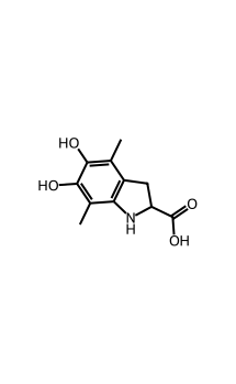 Cc1c(O)c(O)c(C)c2c1CC(C(=O)O)N2